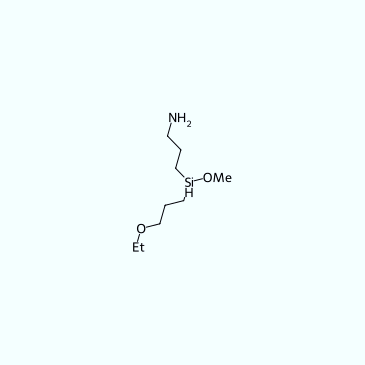 CCOCCC[SiH](CCCN)OC